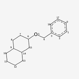 c1ccc(COC2CCC3CCCCC3C2)cc1